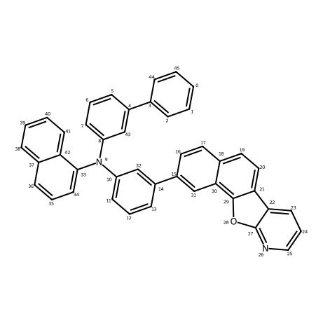 c1ccc(-c2cccc(N(c3cccc(-c4ccc5ccc6c7cccnc7oc6c5c4)c3)c3cccc4ccccc34)c2)cc1